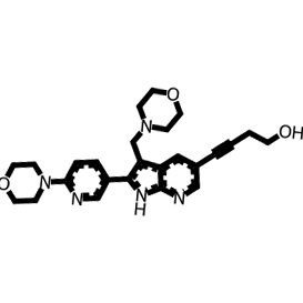 OCCC#Cc1cnc2[nH]c(-c3ccc(N4CCOCC4)nc3)c(CN3CCOCC3)c2c1